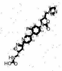 O=C(O)NC[C@@H]1CC(c2ccc(-c3ccc(N4CC(Cn5ccnn5)OC4=O)cc3F)cn2)=NO1